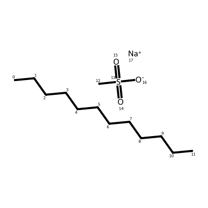 CCCCCCCCCCCC.CS(=O)(=O)[O-].[Na+]